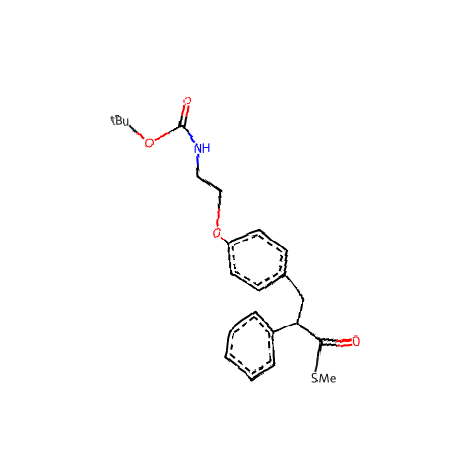 CSC(=O)C(Cc1ccc(OCCNC(=O)OC(C)(C)C)cc1)c1ccccc1